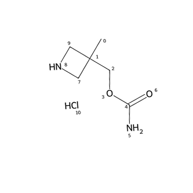 CC1(COC(N)=O)CNC1.Cl